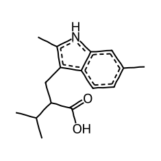 Cc1ccc2c(CC(C(=O)O)C(C)C)c(C)[nH]c2c1